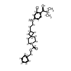 CN(C)C(=O)c1ccc(NCCC2CC3(CCN(C(=O)OCc4ccccc4)CC3)C2)cc1Cl